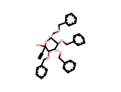 C#CC1(O)O[C@H](COCc2ccccc2)[C@@H](OCc2ccccc2)[C@H](OCc2ccccc2)[C@H]1OCc1ccccc1